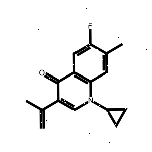 C=C(C)c1cn(C2CC2)c2cc(C)c(F)cc2c1=O